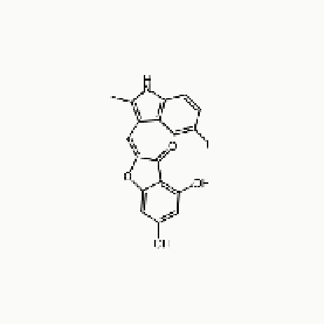 Cc1[nH]c2ccc(F)cc2c1/C=C1/Oc2cc(O)cc(O)c2C1=O